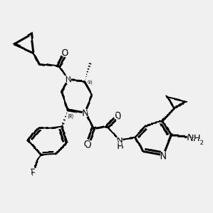 C[C@@H]1CN(C(=O)C(=O)Nc2cnc(N)c(C3CC3)c2)[C@H](c2ccc(F)cc2)CN1C(=O)CC1CC1